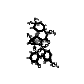 Cc1ccc(S(=O)(=O)N2[C@H](C(=O)N(C)C3CCC(F)(F)CC3)C[C@@H]3C[C@@H]32)c(-c2ncccc2Cl)c1